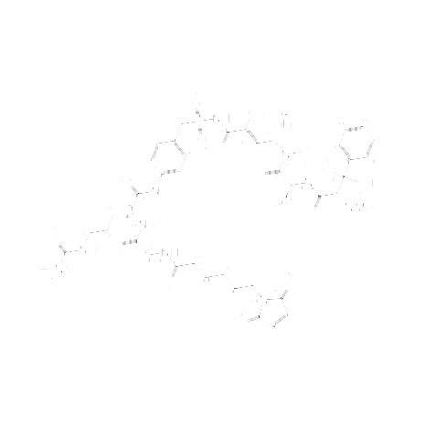 CN[C@H](C(=O)N[C@H](C(=O)N(C)[C@H](/C=C(\C)C(=O)NS(=O)(=O)Cc1ccc(NC(=O)[C@@H](CCCNC(N)=O)NC(=O)[C@H](NC(=O)CCCCCN2C(=O)C=CC2=O)C(C)C)cc1)C(C)C)C(C)(C)C)C(C)(C)c1ccccc1